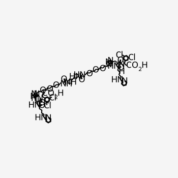 O=C(O)CC(NC(=O)[C@H](Cc1cn(CCOCCOCCOCCNC(=O)NCCCCNC(=O)NCCOCCOCCOCCn2cc(C[C@H](NC(=O)CCCCNc3ccccn3)C(=O)NC(CC(=O)O)c3cc(Cl)cc(Cl)c3)nn2)nn1)NC(=O)CCCCNc1ccccn1)c1cc(Cl)cc(Cl)c1